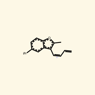 C=C/C=C\c1c(C)oc2ccc(C(C)C)cc12